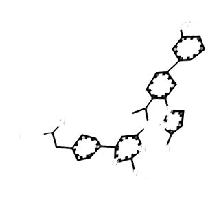 COc1cccc(-c2ccc(C(Oc3cc(-c4ccc(C[C@H](N)C(=O)O)cc4)nc(N)n3)C(F)(F)F)c(-n3ccc(C)n3)c2)c1